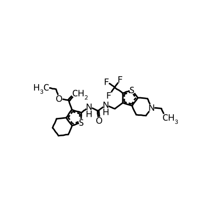 C=C(OCC)c1c(NC(=O)NCc2c(C(F)(F)F)sc3c2CCN(CC)C3)sc2c1CCCC2